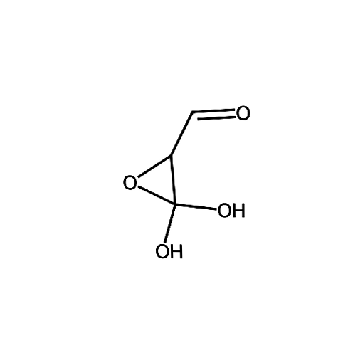 O=CC1OC1(O)O